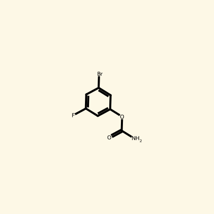 NC(=O)Oc1cc(F)cc(Br)c1